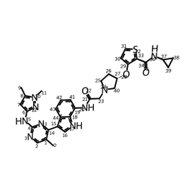 Cc1cnc(Nc2cc(C)n(C)n2)nc1-c1c[nH]c2c(NC(=O)CN3CC[C@H](Oc4ccsc4C(=O)NC4CC4)C3)cccc12